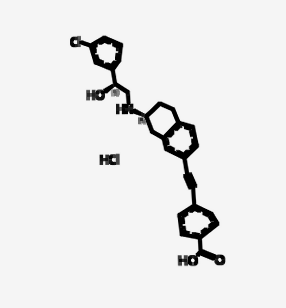 Cl.O=C(O)c1ccc(C#Cc2ccc3c(c2)C[C@@H](NC[C@@H](O)c2cccc(Cl)c2)CC3)cc1